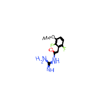 COc1ccc(F)c(CC(=O)NC(=N)N)c1F